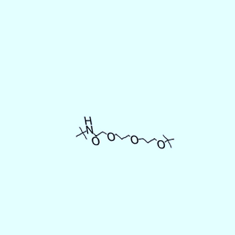 CC(C)(C)NC(=O)COCCCOCCCOC(C)(C)C